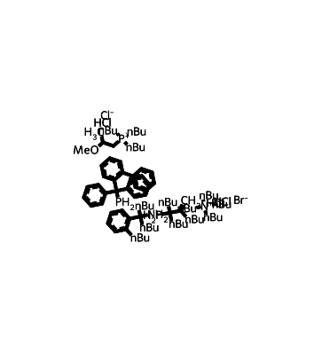 C=C(CCCC)C(P)(CCCC)CCCC.CCCC[N+](CCCC)(CCCC)CCCC.CCCC[P+](CCCC)(CCCC)CC(C)OC.CCCCc1ccccc1C(N)(CCCC)CCCC.Cl.Cl.Cl.PC(c1ccccc1)(c1ccccc1)c1ccccc1-c1ccccc1.[Br-].[Cl-]